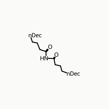 CCCCCCCCCCCCCC(=O)NC(=O)CCCCCCCCCCCCC